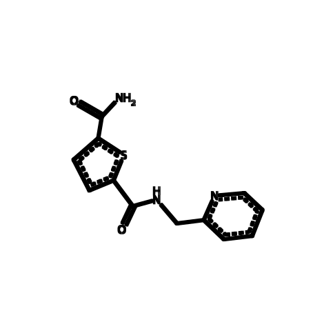 NC(=O)c1ccc(C(=O)NCc2ccccn2)s1